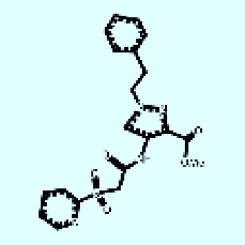 COC(=O)c1nn(CCc2ccccc2)cc1NC(=O)CS(=O)(=O)c1ccccn1